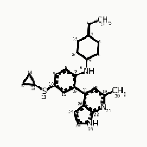 CCC1CCC(Nc2ccc(SC3CC3)cc2-c2cc(C)nc3[nH]ccc23)CC1